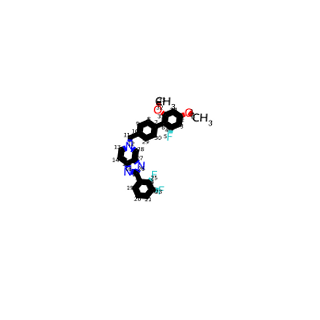 COc1cc(F)c(-c2ccc(Cn3ccc4nc(-c5cccc(F)c5F)nc-4c3)cc2)c(OC)c1